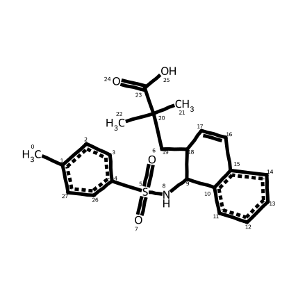 Cc1ccc(S(=O)(=O)NC2c3ccccc3C=CC2CC(C)(C)C(=O)O)cc1